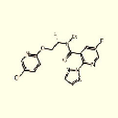 CCN(C(=O)c1cc(F)cnc1-n1nccn1)[C@@H](C)COc1ccc(Cl)cn1